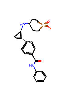 O=C(Nc1ccccc1)c1ccc([C@@H]2C[C@H]2NC2CCS(=O)(=O)CC2)cc1